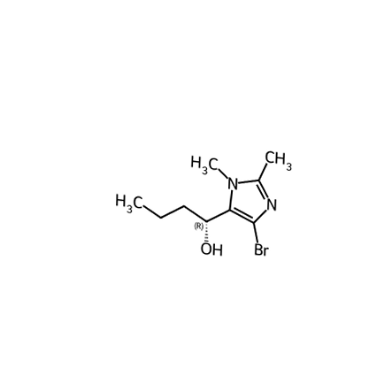 CCC[C@@H](O)c1c(Br)nc(C)n1C